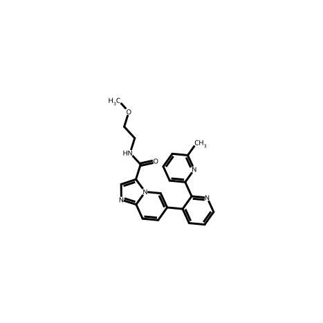 COCCNC(=O)c1cnc2ccc(-c3cccnc3-c3cccc(C)n3)cn12